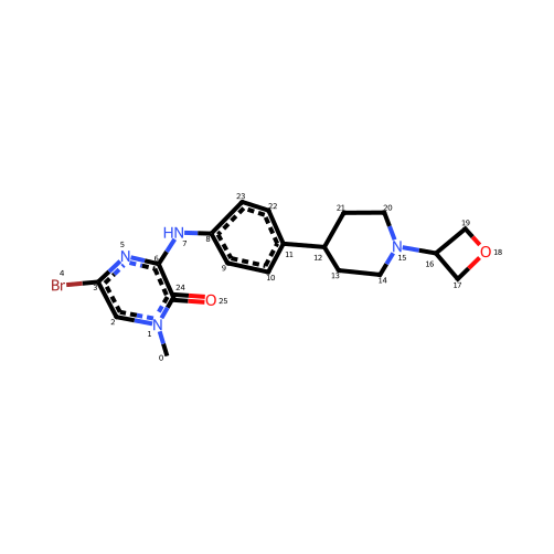 Cn1cc(Br)nc(Nc2ccc(C3CCN(C4COC4)CC3)cc2)c1=O